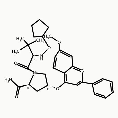 COc1ccc2c(O[C@@H]3C[C@@H](C(N)=O)N(C(=O)[C@@H](NOC4CCCC4)C(C)(C)C)C3)cc(-c3ccccc3)nc2c1